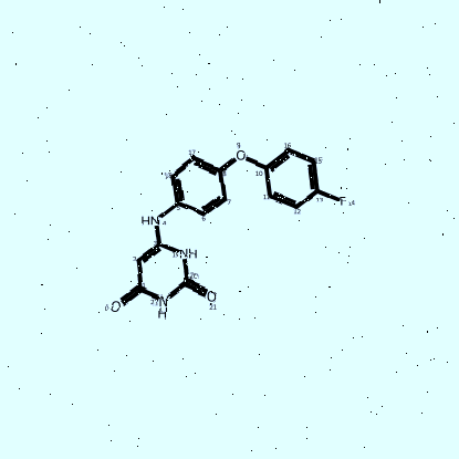 O=c1cc(Nc2ccc(Oc3ccc(F)cc3)cc2)[nH]c(=O)[nH]1